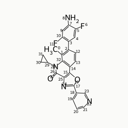 Cc1c(-c2cc(F)c(N)cc2F)ccc2c3oc(-c4cccnc4)nc3c(=O)n(C3CC3)c12